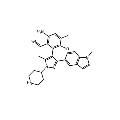 Cc1cc(N)c(C=N)c(-c2c(-c3ccc4c(cnn4C)c3)nn(C3CCNCC3)c2C)c1Cl